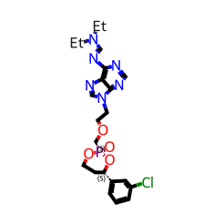 CCN(C=Nc1ncnc2c1ncn2CCOC[P@]1(=O)OCC[C@@H](c2cccc(Cl)c2)O1)CC